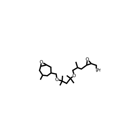 CC(C)CC1OC1CC(C)COC(C)(C)CC(C)(C)OCC1CC(C)CC2OC2C1